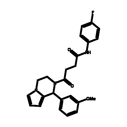 COc1cccc(C2c3cccn3CCN2C(=O)CCC(=O)Nc2ccc(F)cc2)c1